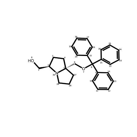 OC[C@H]1CC[C@@]2(COC(c3ccccc3)(c3ccccc3)c3ccccc3)CCCN12